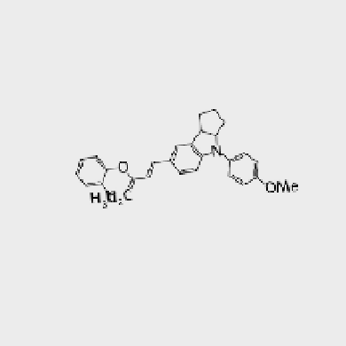 C=C(/C=C/c1ccc2c(c1)C1CCCC1N2c1ccc(OC)cc1)Oc1ccccc1C